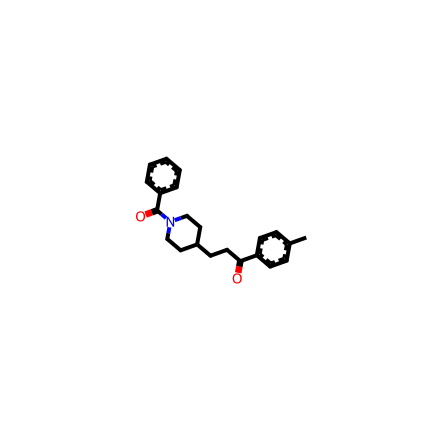 Cc1ccc(C(=O)CCC2CCN(C(=O)c3ccccc3)CC2)cc1